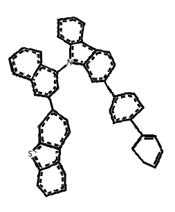 C1=CCCC(c2ccc(-c3ccc4c5ccccc5n(-c5cc(-c6ccc7c(c6)sc6ccccc67)cc6ccccc56)c4c3)cc2)=C1